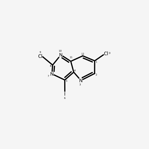 Clc1cnc2c(I)nc(Cl)nc2c1